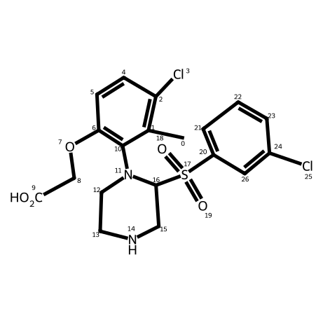 Cc1c(Cl)ccc(OCC(=O)O)c1N1CCNCC1S(=O)(=O)c1cccc(Cl)c1